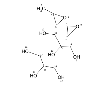 C1CO1.CC1CO1.OCC(O)CO.OCC(O)CO